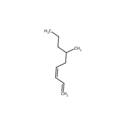 C=C/C=C\CC(C)CCC